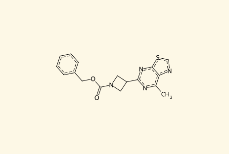 Cc1nc(C2CN(C(=O)OCc3ccccc3)C2)nc2scnc12